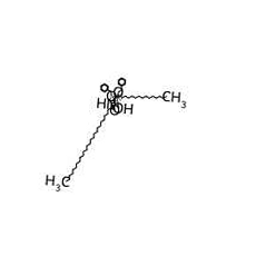 CCCCCCCCCCCCCCCCCCCCCCCCCC(=O)N[C@@H](CO)[C@H](OCc1ccccc1)[C@@H](CCCCCCCCCCCCCC)OCc1ccccc1